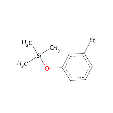 C[CH]c1cccc(O[Si](C)(C)C)c1